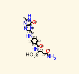 Cc1nc2ncc(CNc3ccc(C(=O)NC(CCC(N)=O)C(=O)O)cc3)nc2c(=O)[nH]1